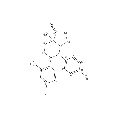 Cc1cc(Cl)ccc1C1CCC2(C)C(=O)NCC2C1c1ccc(Cl)cc1